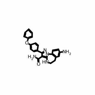 NC(=O)c1c(-c2ccc(Oc3ccccc3)cc2)nn2c1NCCc1cc(N)ccc1-2